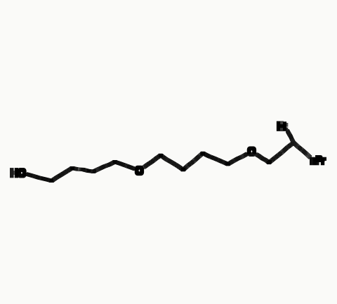 CCCC(CC)COCCCCOCCCCO